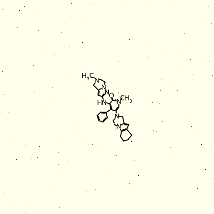 CN1CCn2nc(Nc3c(-c4ccccc4)c(N4CCn5c(cc6c5CCCC6)C4)cn(C)c3=O)cc2C1